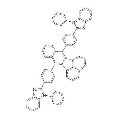 c1ccc(-n2c(-c3ccc(-c4c5c(c(-c6ccc(-c7nc8ccccc8n7-c7ccccc7)cc6)c6ccccc46)-c4cccc6cccc-5c46)cc3)nc3ccccc32)cc1